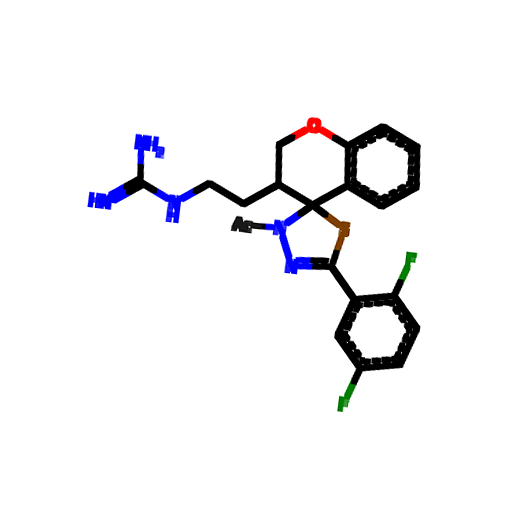 CC(=O)N1N=C(c2cc(F)ccc2F)SC12c1ccccc1OCC2CCNC(=N)N